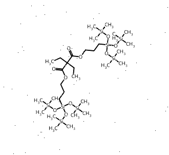 CCC(CC)(C(=O)OCCC[Si](O[Si](C)(C)C)(O[Si](C)(C)C)O[Si](C)(C)C)C(=O)OCCC[Si](O[Si](C)(C)C)(O[Si](C)(C)C)O[Si](C)(C)C